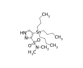 CCC[CH2][Sn]([CH2]CCC)([CH2]CCC)[c]1c[nH]nc1S(=O)(=O)N(C)C